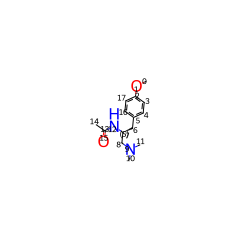 COc1ccc(C[C@@H](CN(C)C)NC(C)=O)cc1